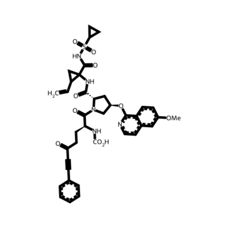 C=CC1CC1(NC(=O)[C@@H]1C[C@@H](Oc2nccc3cc(OC)ccc23)CN1C(=O)[C@H](CCC(=O)C#Cc1ccccc1)NC(=O)O)C(=O)NS(=O)(=O)C1CC1